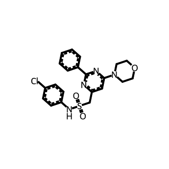 O=S(=O)(Cc1cc(N2CCOCC2)nc(-c2ccccc2)n1)Nc1ccc(Cl)cc1